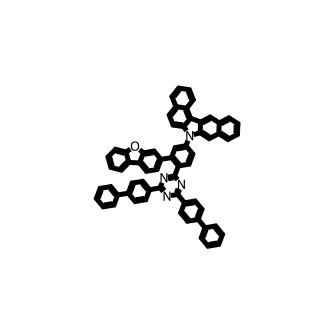 c1ccc(-c2ccc(-c3nc(-c4ccc(-c5ccccc5)cc4)nc(-c4ccc(-n5c6cc7ccccc7cc6c6c7ccccc7ccc65)cc4-c4ccc5c(c4)oc4ccccc45)n3)cc2)cc1